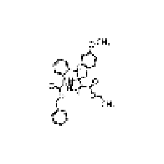 CCOC(=O)C1=NN=NC1(Cc1ccc(OC)cc1)C(=O)c1ccccc1NC(=O)OCc1ccccc1